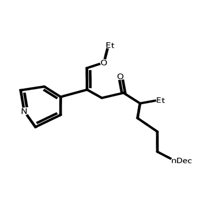 CCCCCCCCCCCCCC(CC)C(=O)CC(=COCC)c1ccncc1